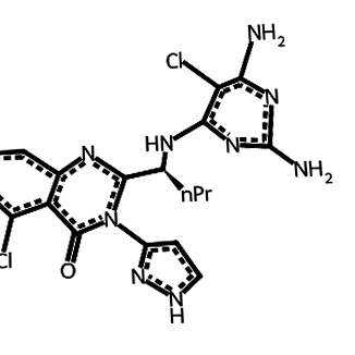 CCC[C@H](Nc1nc(N)nc(N)c1Cl)c1nc2cccc(Cl)c2c(=O)n1-c1cc[nH]n1